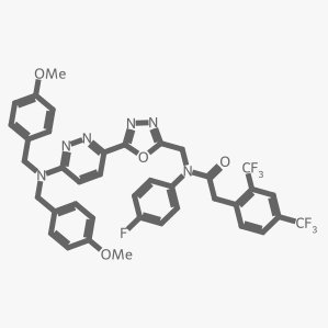 COc1ccc(CN(Cc2ccc(OC)cc2)c2ccc(-c3nnc(CN(C(=O)Cc4ccc(C(F)(F)F)cc4C(F)(F)F)c4ccc(F)cc4)o3)nn2)cc1